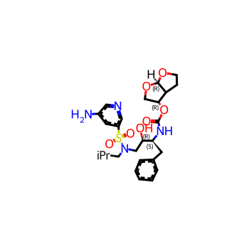 CC(C)CN(C[C@@H](O)[C@H](Cc1ccccc1)NC(=O)O[C@H]1CO[C@H]2OCCC21)S(=O)(=O)c1cncc(N)c1